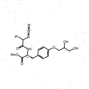 COC(=O)[C@H](Cc1ccc(OCC(O)CO)cc1)NC(=O)C(N=[N+]=[N-])C(C)C